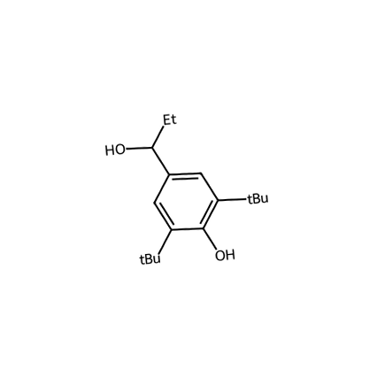 CCC(O)c1cc(C(C)(C)C)c(O)c(C(C)(C)C)c1